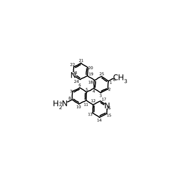 Cc1ccc(-c2ccc(N)cc2-c2cccnc2)c(-c2cccnc2)c1